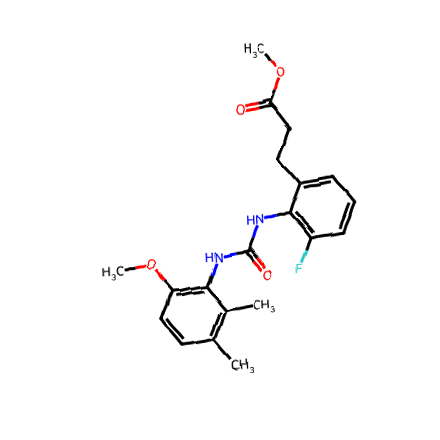 COC(=O)CCc1cccc(F)c1NC(=O)Nc1c(OC)ccc(C)c1C